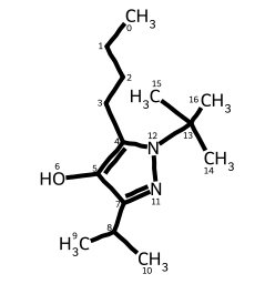 CCCCc1c(O)c(C(C)C)nn1C(C)(C)C